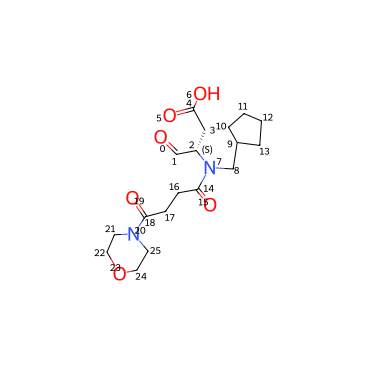 O=C[C@H](CC(=O)O)N(CC1CCCC1)C(=O)CCC(=O)N1CCOCC1